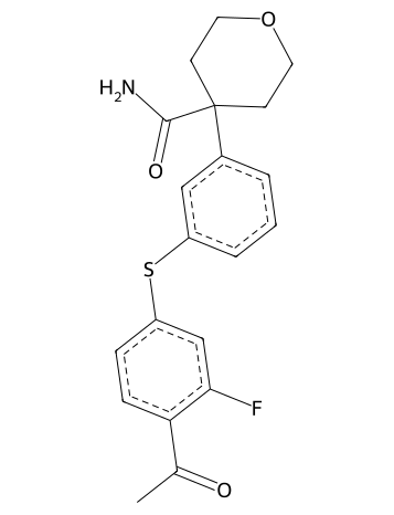 CC(=O)c1ccc(Sc2cccc(C3(C(N)=O)CCOCC3)c2)cc1F